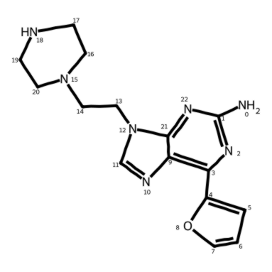 Nc1nc(-c2ccco2)c2ncn(CCN3CCNCC3)c2n1